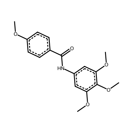 COc1ccc(C(=O)Nc2cc(OC)c(OC)c(OC)c2)cc1